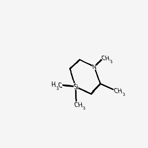 CC1C[Si](C)(C)CCN1C